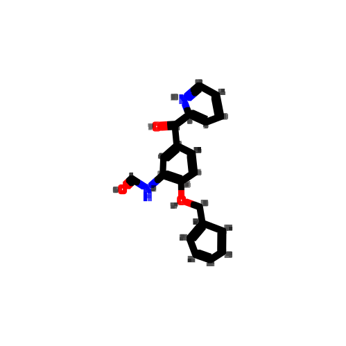 O=CNc1cc(C(=O)c2ccccn2)ccc1OCc1ccccc1